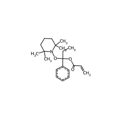 C=CC(=O)OC(CC)(ON1C(C)(C)CCCC1(C)C)c1ccccc1